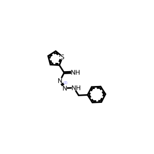 N=C(/N=N\NCc1ccccc1)c1cccs1